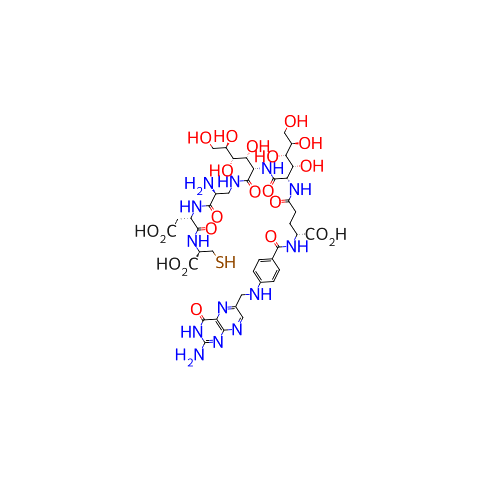 Nc1nc2ncc(CNc3ccc(C(=O)N[C@H](CCC(=O)N[C@H](C(=O)N[C@H](C(=O)NC[C@H](N)C(=O)N[C@@H](CC(=O)O)C(=O)N[C@@H](CS)C(=O)O)[C@@H](O)[C@H](O)[C@H](O)CO)[C@@H](O)[C@H](O)[C@H](O)CO)C(=O)O)cc3)nc2c(=O)[nH]1